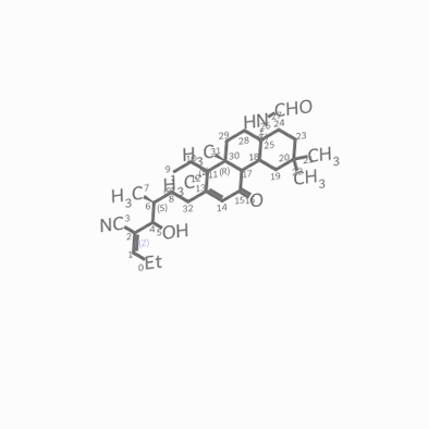 CC/C=C(/C#N)C(O)[C@@H](C)[C@@H]1CC[C@]2(C)C(=CC(=O)C3C4CC(C)(C)CC[C@]4(NC=O)CC[C@]32C)C1